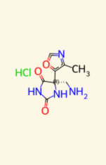 Cc1ncoc1[C@@]1(CN)NC(=O)NC1=O.Cl